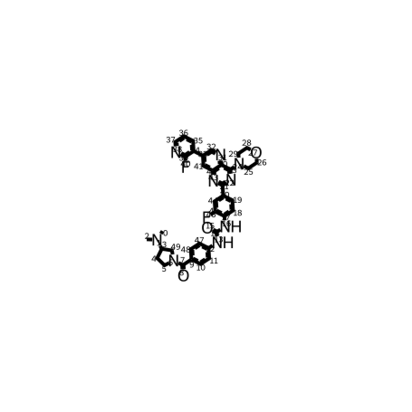 CN(C)C1CCN(C(=O)c2ccc(NC(=O)Nc3ccc(-c4nc(N5CCOCC5)c5ncc(-c6cccnc6F)cc5n4)cc3F)cc2)C1